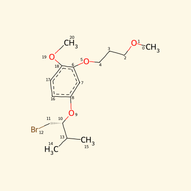 COCCCOc1cc(O[C@@H](CBr)C(C)C)ccc1OC